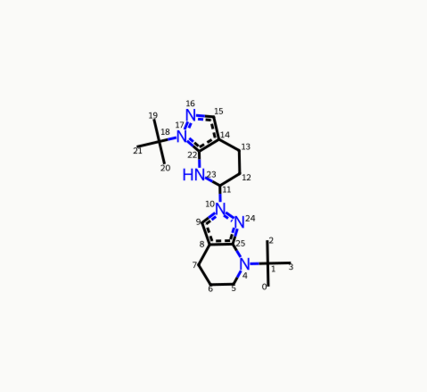 CC(C)(C)N1CCCc2cn(C3CCc4cnn(C(C)(C)C)c4N3)nc21